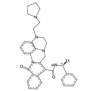 CC[C@H](NC(=O)c1c(CN2CCN(CCN3CCCC3)CC2)n(-c2ccccc2)c(=O)c2ccccc12)c1ccccc1